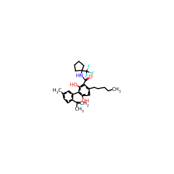 C=C(C)c1ccc(C)cc1-c1c(O)cc(CCCCC)c(C(=O)NC2(C(F)(F)F)CCCC2)c1O